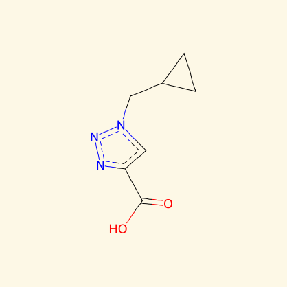 O=C(O)c1cn(CC2CC2)nn1